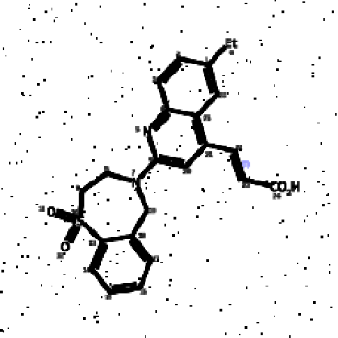 CCc1ccc2nc(N3CCS(=O)(=O)c4ccccc4C3)cc(/C=C/C(=O)O)c2c1